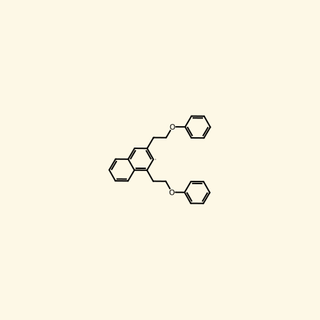 [c]1c(CCOc2ccccc2)cc2ccccc2c1CCOc1ccccc1